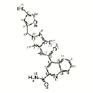 Cc1c(NC(=O)c2cc(C(N)=O)nc3ccccc23)c(C(F)(F)F)nn1Cc1cc(C(C)C)no1